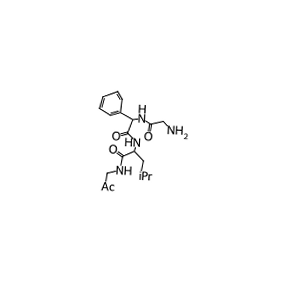 CC(=O)CNC(=O)C(CC(C)C)NC(=O)C(NC(=O)CN)c1ccccc1